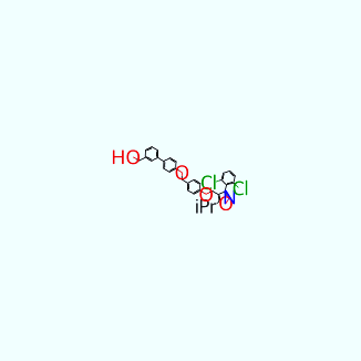 CC(C)c1onc(-c2c(Cl)cccc2Cl)c1COc1ccc(COc2ccc(-c3cccc(CO)c3)cc2)cc1